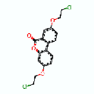 O=c1oc2cc(OCCCl)ccc2c2ccc(OCCCl)cc12